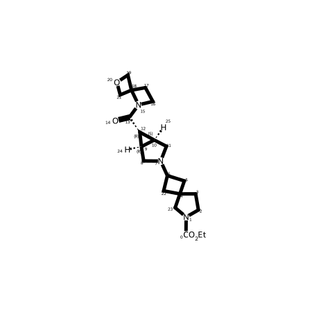 CCOC(=O)N1CCC2(CC(N3C[C@@H]4[C@H](C3)[C@H]4C(=O)N3CCC34COC4)C2)C1